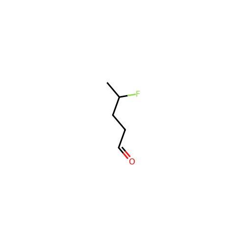 CC(F)CCC=O